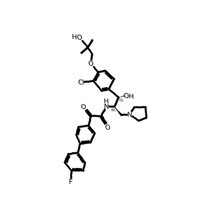 CC(C)(O)COc1ccc([C@H](O)[C@@H](CN2CCCC2)NC(=O)C(=O)c2ccc(-c3ccc(F)cc3)cc2)cc1Cl